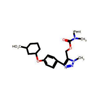 CCCC(C)N(C)C(=O)OCc1c(-c2ccc(OC3CCCC(C(=O)O)C3)cc2)nnn1C